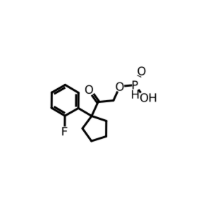 O=C(CO[PH](=O)O)C1(c2ccccc2F)CCCC1